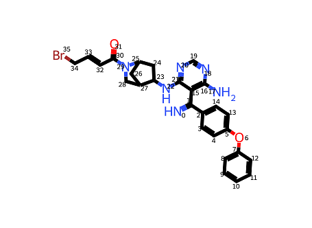 N=C(c1ccc(Oc2ccccc2)cc1)c1c(N)ncnc1NC1CC2CC1CN2C(=O)/C=C/CBr